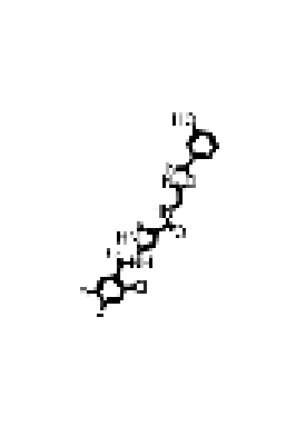 O=C(NCc1nnc(-c2cccc(O)c2)o1)c1cc(NC(=O)c2cc(F)c(F)cc2Cl)[nH]n1